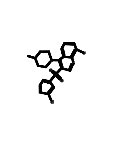 CC1CCN(c2c(S(=O)(=O)c3cccc(Cl)c3)cnc3c(F)cccc23)CC1